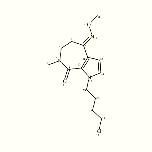 CON=C1CCN(C)C(=O)c2c1ccn2CCCCCl